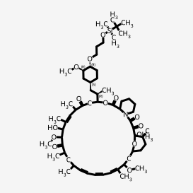 COC1CC2CCC(C)C(O)(O2)C(=O)C(=O)N2CCCCC2C(=O)OC([C@H](C)C[C@@H]2CC[C@@H](OCCCO[Si](C)(C)C(C)(C)C)[C@H](OC)C2)CC(=O)C(C)C=C(C)C(O)C(OC)C(=O)C(C)CC(C)C=CC=CC=C1C